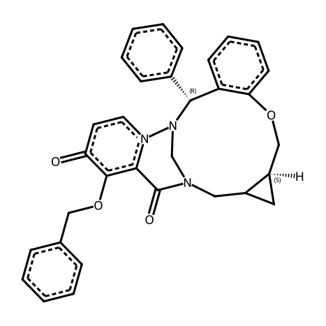 O=C1c2c(OCc3ccccc3)c(=O)ccn2N2CN1CC1C[C@@H]1COc1ccccc1[C@H]2c1ccccc1